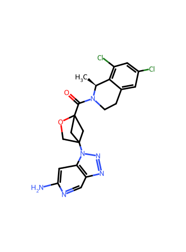 C[C@H]1c2c(Cl)cc(Cl)cc2CCN1C(=O)C12CC(n3nnc4cnc(N)cc43)(CO1)C2